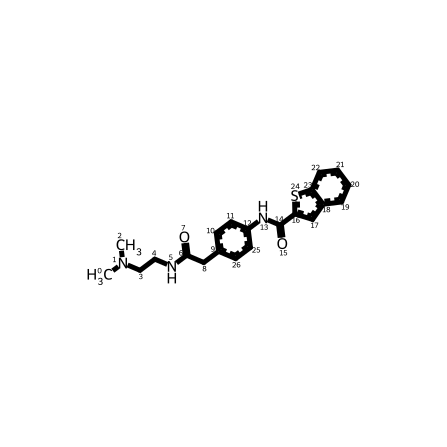 CN(C)CCNC(=O)Cc1ccc(NC(=O)c2cc3ccccc3s2)cc1